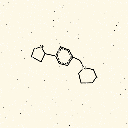 c1cc(C2CCC[N]2)ccc1CN1CCCCC1